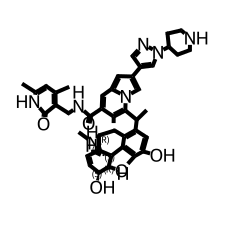 Cc1cc(C)c(CNC(=O)c2cc3cc(-c4cnn(C5CCNCC5)c4)cn3c(C(C)c3cc(O)c4c5c3C[C@@H]3[C@@H]6C=C[C@H](O)[C@H](O4)[C@]56CCN3C)c2C)c(=O)[nH]1